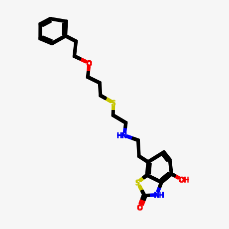 O=c1[nH]c2c(O)ccc(CCNCCSCCCOCCc3ccccc3)c2s1